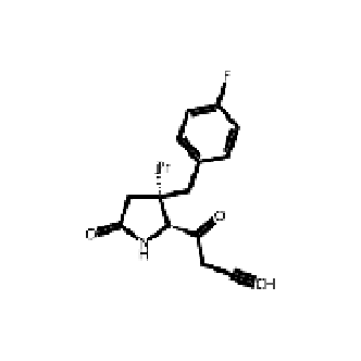 C#CCC(=O)[C@H]1NC(=O)C[C@]1(Cc1ccc(F)cc1)C(C)C